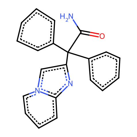 NC(=O)C(c1ccccc1)(c1ccccc1)c1cn2ccccc2n1